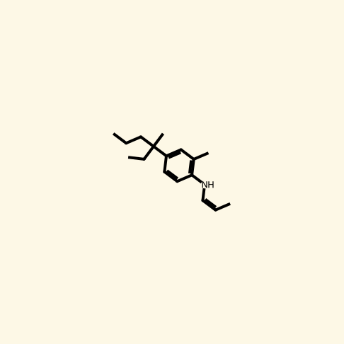 C/C=C\Nc1ccc(C(C)(CC)CCC)cc1C